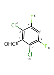 O=Cc1c(Cl)c(F)cc(F)c1Cl